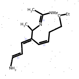 CCOCC\C=C/C(=C\C=C\N)C(C)/N=C(\C)NC